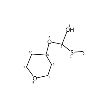 CSC(O)OC1CCOCC1